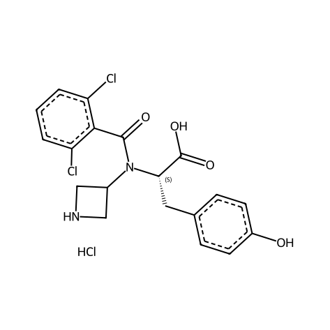 Cl.O=C(O)[C@H](Cc1ccc(O)cc1)N(C(=O)c1c(Cl)cccc1Cl)C1CNC1